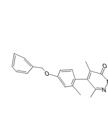 Cc1cc(OCc2ccccc2)ccc1-c1c(C)n[nH]c(=O)c1C